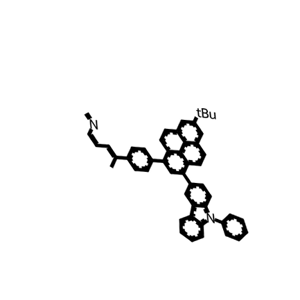 C=N/C=C\C=C(/C)c1ccc(-c2cc(-c3ccc4c(c3)c3ccccc3n4-c3ccccc3)c3ccc4cc(C(C)(C)C)cc5ccc2c3c54)cc1